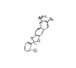 CC1(c2ccccc2Cl)Oc2cc3cc(N)c(Br)cc3cc2O1